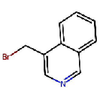 BrCc1cncc2ccccc12